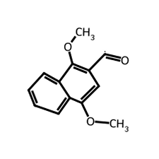 COc1cc([C]=O)c(OC)c2ccccc12